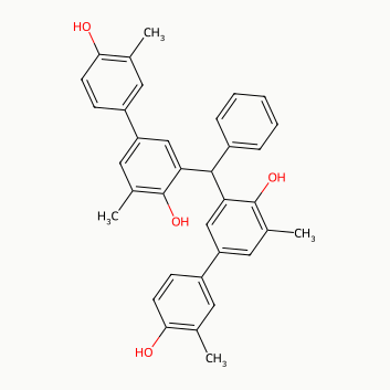 Cc1cc(-c2cc(C)c(O)c(C(c3ccccc3)c3cc(-c4ccc(O)c(C)c4)cc(C)c3O)c2)ccc1O